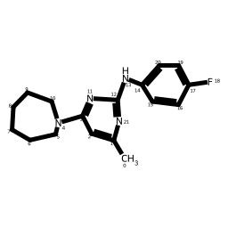 Cc1cc(N2CCCCCC2)nc(Nc2ccc(F)cc2)n1